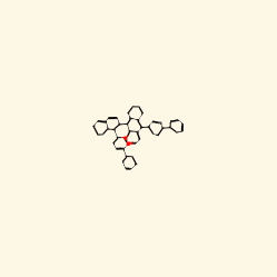 c1ccc(-c2ccc(-c3c(-c4c5ccccc5c(-c5ccc6c(c5)oc5ccccc56)c5ccccc45)ccc4ccccc34)cc2)cc1